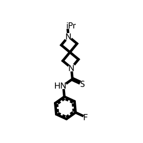 CC(C)N1CC2(CN(C(=S)Nc3cccc(F)c3)C2)C1